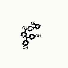 O=C(c1ccnc(C(c2ccc(O)cc2)c2ccc(O)cc2)c1)N1CCN(c2ccccc2Cl)CC1